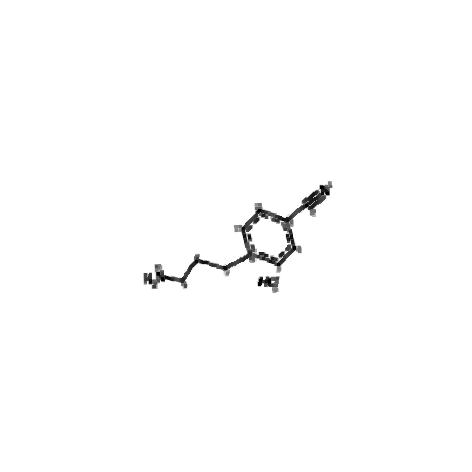 Cl.N#Cc1ccc(CCCN)cc1